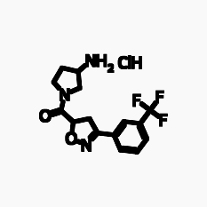 Cl.NC1CCN(C(=O)C2CC(c3cccc(C(F)(F)F)c3)=NO2)C1